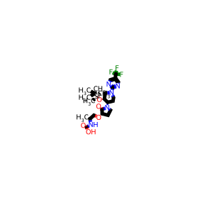 C[C@@H](CO[C@@H]1CCN([C@@H]2CCN(c3ncc(C(F)(F)F)cn3)C[C@H]2O[Si](C)(C)C(C)(C)C)C1=O)NC(=O)O